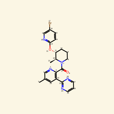 Cc1cnc(C(=O)N2CCC[C@@H](Oc3ccc(Br)cn3)[C@@H]2C)c(-c2ncccn2)c1